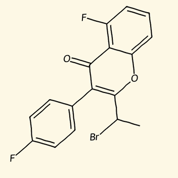 CC(Br)c1oc2cccc(F)c2c(=O)c1-c1ccc(F)cc1